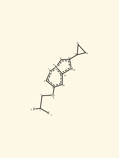 FC(F)COc1cnn2cc(C3CC3)nc2c1